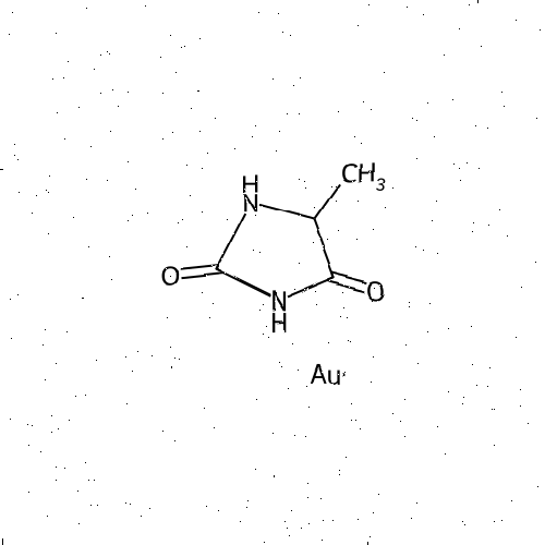 CC1NC(=O)NC1=O.[Au]